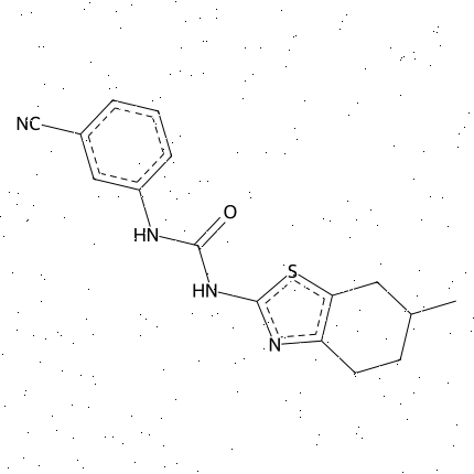 CC1CCc2nc(NC(=O)Nc3cccc(C#N)c3)sc2C1